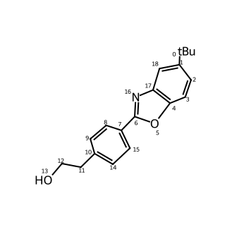 CC(C)(C)c1ccc2oc(-c3ccc(CCO)cc3)nc2c1